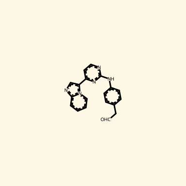 O=CCc1ccc(Nc2nccc(-c3cnc4ccccn34)n2)cc1